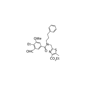 CCOC(=O)c1nc(CN(CCCc2ccccc2)C(=O)c2cc(C=O)c(CC)c(OC)c2)sc1C